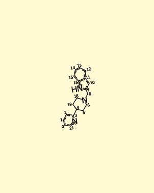 c1ccc(C2CCN(Cc3cc4ccccc4[nH]3)CC2)nc1